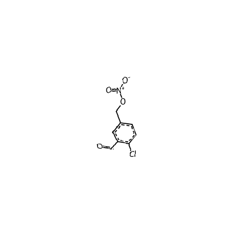 O=[C]c1cc(CO[N+](=O)[O-])ccc1Cl